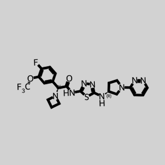 O=C(Nc1nnc(N[C@@H]2CCN(c3cccnn3)C2)s1)[C@@H](c1ccc(F)c(OC(F)(F)F)c1)N1CCC1